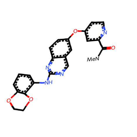 CNC(=O)c1cc(Oc2ccc3nc(Nc4cccc5c4OCCO5)ncc3c2)ccn1